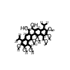 COCc1c(OC)c(OC)c(C(C)C)c2cc(CO)c(-c3c(CO)cc4c(C(C)C)c(OC)c(OC)c(COC)c4c3OC)c(OC)c12